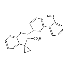 COc1ccccc1-c1nccc(COc2ccccc2C2(CC(=O)O)CC2)n1